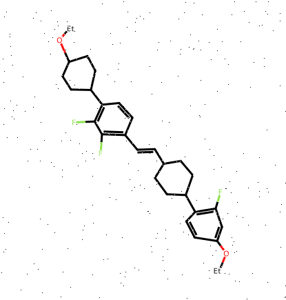 CCOc1ccc(C2CCC(/C=C/c3ccc(C4CCC(OCC)CC4)c(F)c3F)CC2)c(F)c1